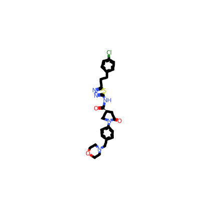 O=C(Nc1nnc(CCc2ccc(Cl)cc2)s1)[C@@H]1CC(=O)N(c2ccc(CN3CCOCC3)cc2)C1